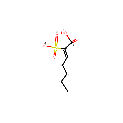 CCCCC=C(C(=O)O)S(=O)(=O)O